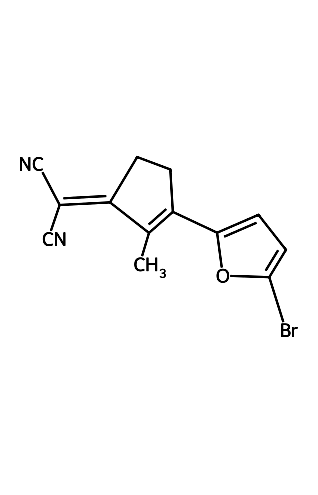 CC1=C(c2ccc(Br)o2)CCC1=C(C#N)C#N